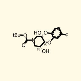 CC(C)(C)OC(=O)N1CC[C@@H](Oc2cc(F)ccc2C(=O)O)[C@H](O)C1